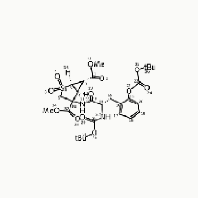 COC(=O)[C@@H]1[C@@H]2[C@H]1S(=O)(=O)C[C@@]2(NC(=O)[C@H](Cc1ccccc1OC(=O)OC(C)(C)C)NC(=O)OC(C)(C)C)C(=O)OC